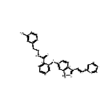 O=C(NCCc1cccc(F)c1)c1ccccc1Sc1ccc2c(/C=C/c3ccccn3)n[nH]c2c1